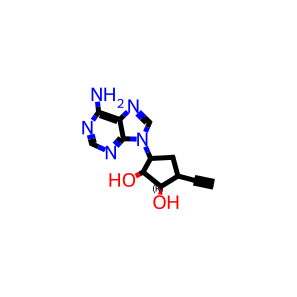 C#CC1CC(n2cnc3c(N)ncnc32)C(O)[C@@H]1O